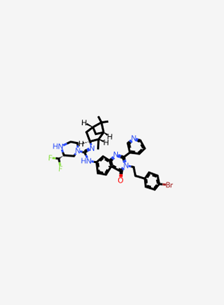 C[C@@H]1[C@@H](N=C(Nc2ccc3c(=O)n(CCc4ccc(Br)cc4)c(-c4cccnc4)nc3c2)N2CCN[C@@H](C(F)F)C2)C[C@H]2C[C@@H]1C2(C)C